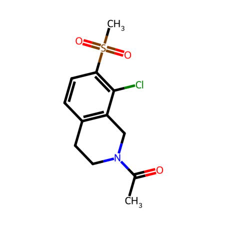 CC(=O)N1CCc2ccc(S(C)(=O)=O)c(Cl)c2C1